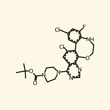 CC(C)(C)OC(=O)N1CCN(c2ncnc3c4c(c(Cl)cc23)-c2cc(Cl)cc(F)c2NCCO4)CC1